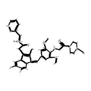 COc1cc(C=C2C(C)=C(CC(=O)NCc3cccnc3)c3cc(F)ccc32)cc(OC)c1OCC(=O)N1CCN(C)CC1